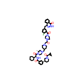 C[C@@H]1CN(CC2CCN(CC(=O)N3CCN(C(=O)c4cc(Cc5n[nH]c(=O)c6ccccc56)ccc4F)CC3)CC2)CCN1C(=O)[C@H](NC(=O)c1cccc([C@@H]2CCCN(C(=O)C3CC3)C2)c1)C1CCCCC1